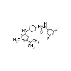 Cc1nc(NC2CCC(NC(=O)Nc3cc(F)cc(F)c3)CC2)cc(N(C)C)n1